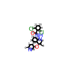 Cc1ccc(Oc2c(C)cnc3c(NC(=O)c4c(Cl)cccc4Cl)cccc23)cn1